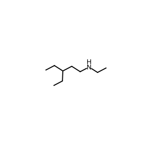 CCNCCC(CC)CC